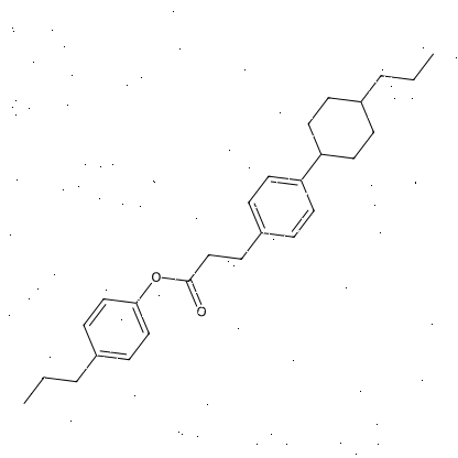 CCCc1ccc(OC(=O)CCc2ccc(C3CCC(CCC)CC3)cc2)cc1